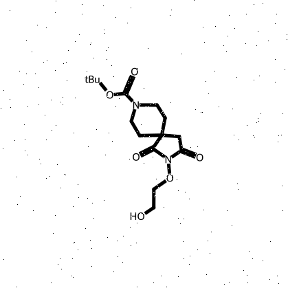 CC(C)(C)OC(=O)N1CCC2(CC1)CC(=O)N(OCCO)C2=O